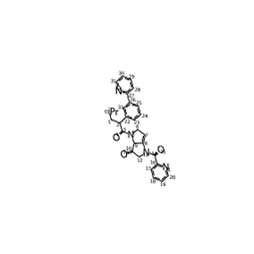 CC(C)CC(C(=O)N1CC=C2C1C(=O)CN2C(=O)c1ccccn1)c1cccc(-c2ccccn2)c1